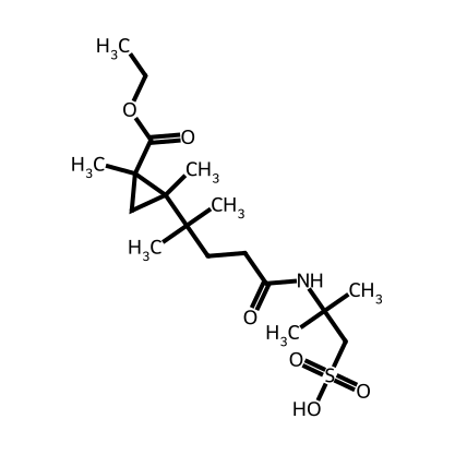 CCOC(=O)C1(C)CC1(C)C(C)(C)CCC(=O)NC(C)(C)CS(=O)(=O)O